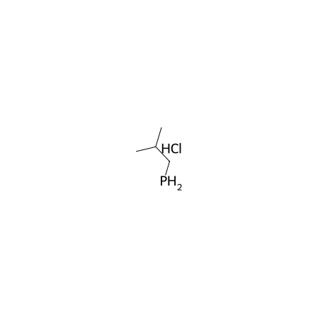 CC(C)CP.Cl